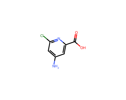 Nc1cc(Cl)nc(C(=O)O)c1